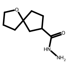 NNC(=O)C1CCC2(CCCO2)C1